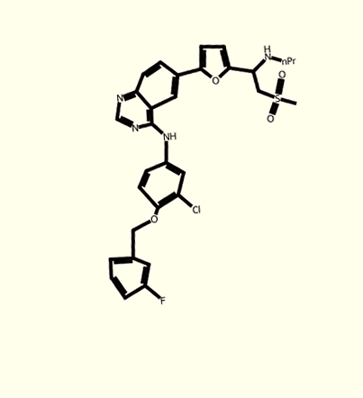 CCCNC(CS(C)(=O)=O)c1ccc(-c2ccc3ncnc(Nc4ccc(OCc5cccc(F)c5)c(Cl)c4)c3c2)o1